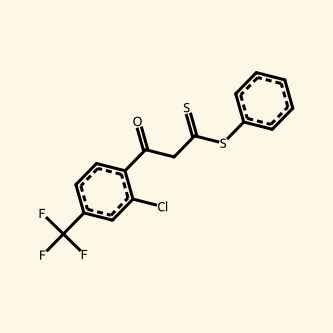 O=C(CC(=S)Sc1ccccc1)c1ccc(C(F)(F)F)cc1Cl